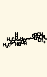 CC#CCC(C)[C@H](O)/C=C/[C@@H]1[C@H]2C/C(=C/CCCC(=O)O[C@H](C(C)=O)C(C)C)C[C@H]2C[C@H]1O